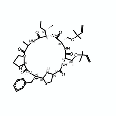 C=CC(C)(C)OC[C@@H]1NC(=O)[C@H]([C@@H](C)OC(C)(C)C=C)NC(=O)[C@@H]2CS[C@H](N2)[C@@H](Cc2ccccc2)NC(=O)[C@@H]2CCCN2C(=O)C(C)NC(=O)[C@H]([C@@H](C)CC)NC1=O